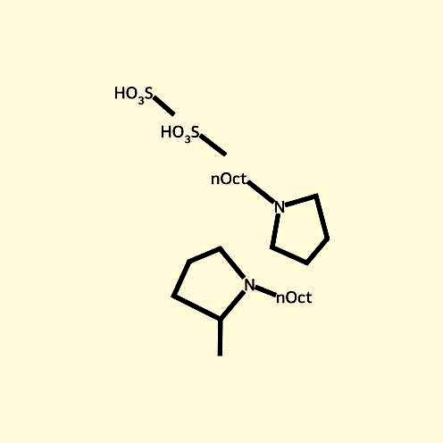 CCCCCCCCN1CCCC1.CCCCCCCCN1CCCC1C.CS(=O)(=O)O.CS(=O)(=O)O